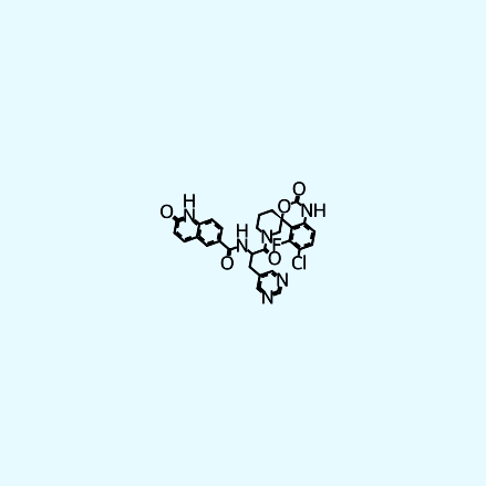 O=C1Nc2ccc(Cl)c(F)c2[C@@]2(CCCN(C(=O)C(Cc3cncnc3)NC(=O)c3ccc4[nH]c(=O)ccc4c3)C2)O1